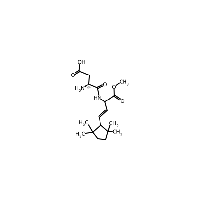 COC(=O)C(C=CC1C(C)(C)CCC1(C)C)NC(=O)[C@@H](N)CC(=O)O